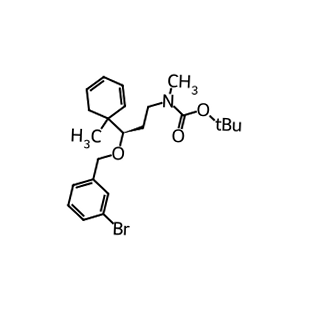 CN(CC[C@@H](OCc1cccc(Br)c1)C1(C)C=CC=CC1)C(=O)OC(C)(C)C